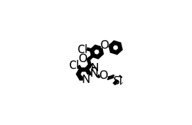 C[Si](C)(C)CCOCn1nc(C(=O)c2ccc(Oc3ccccc3)cc2Cl)c2c(Cl)ccnc21